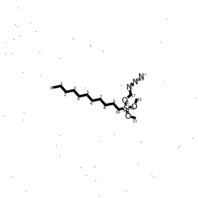 CCCCCCCCCCC[Si](OC)(OC)OCN=[N+]=[N-]